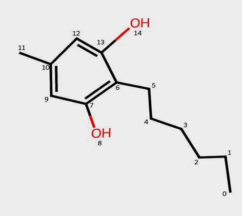 CCCCCCc1c(O)cc(C)cc1O